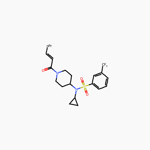 CCCC=CC(=O)N1CCC(N(C2CC2)S(=O)(=O)c2cccc(C(F)(F)F)c2)CC1